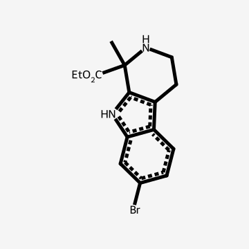 CCOC(=O)C1(C)NCCc2c1[nH]c1cc(Br)ccc21